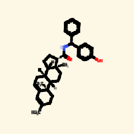 C[C@]12CC[C@H]3[C@@H](CC=C4C=C(C(=O)O)CC[C@@]43C)[C@@H]1CC[C@@H]2C(=O)NC(c1ccccc1)c1ccc(O)cc1